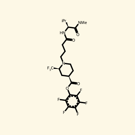 CNC(=O)[C@@H](NC(=O)CCCN1CC[C@@H](C(=O)Oc2c(F)c(F)c(F)c(F)c2F)C[C@H]1C(F)(F)F)C(C)C